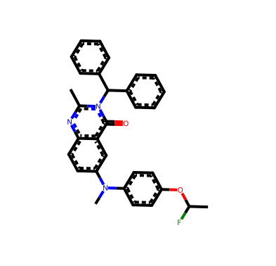 Cc1nc2ccc(N(C)c3ccc(OC(C)F)cc3)cc2c(=O)n1C(c1ccccc1)c1ccccc1